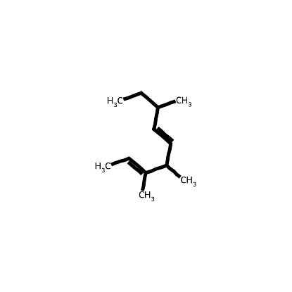 C[CH]C(C)C=CC(C)C(C)=CC